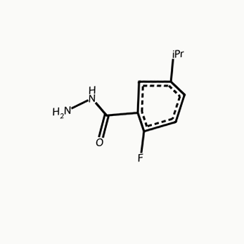 CC(C)c1ccc(F)c(C(=O)NN)c1